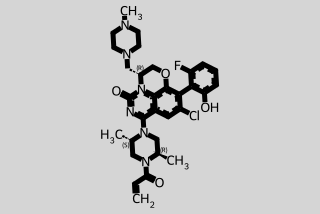 C=CC(=O)N1C[C@H](C)N(c2nc(=O)n3c4c(c(-c5c(O)cccc5F)c(Cl)cc24)OC[C@H]3CN2CCN(C)CC2)C[C@H]1C